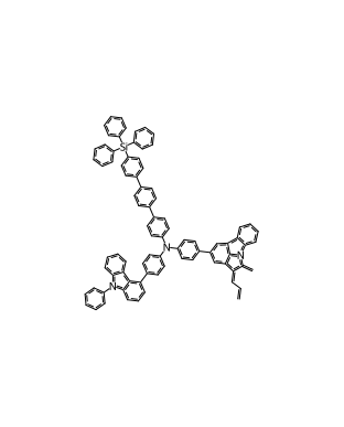 C=C/C=c1\c(=C)n2c3ccccc3c3cc(-c4ccc(N(c5ccc(-c6ccc(-c7ccc([Si](c8ccccc8)(c8ccccc8)c8ccccc8)cc7)cc6)cc5)c5ccc(-c6cccc7c6c6ccccc6n7-c6ccccc6)cc5)cc4)cc1c32